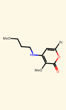 COCCCNc1cc(C(C)=O)oc(=O)c1OC